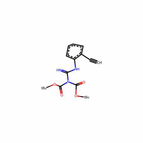 C#Cc1ccccc1NC(=N)N(C(=O)OC(C)(C)C)C(=O)OC(C)(C)C